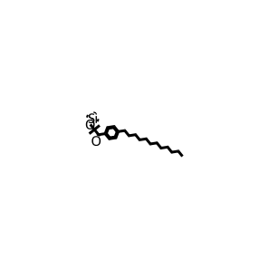 CCCCCCCCCCCCc1ccc(C(=O)C(C)(C)O[Si](C)(C)C)cc1